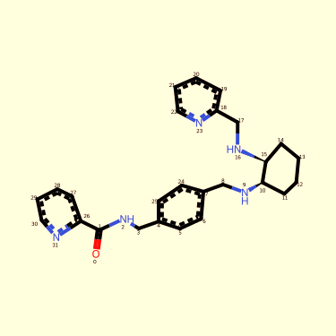 O=C(NCc1ccc(CN[C@@H]2CCCC[C@@H]2NCc2ccccn2)cc1)c1ccccn1